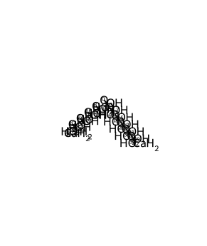 O=C(O)O.O=C(O)O.O=C(O)O.O=C(O)O.O=C(O)O.O=C(O)O.O=C(O)O.O=C(O)O.O=C(O)O.O=C(O)O.[CaH2].[CaH2].[CaH2]